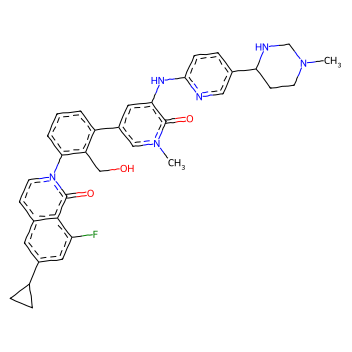 CN1CCC(c2ccc(Nc3cc(-c4cccc(-n5ccc6cc(C7CC7)cc(F)c6c5=O)c4CO)cn(C)c3=O)nc2)NC1